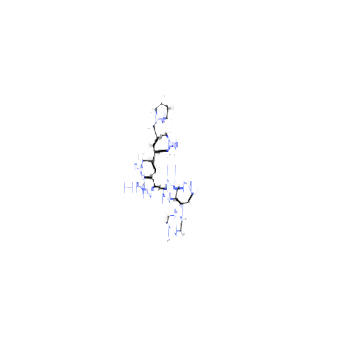 CN1CCN(c2ccnc3[nH]c(-c4n[nH]c5ncc(-c6cncc(CN7CCCC7)c6)cc45)nc23)CC1